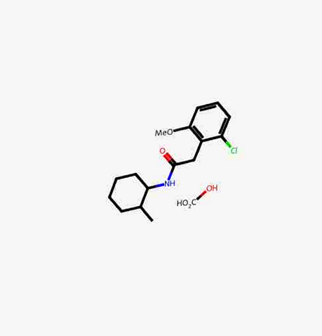 COc1cccc(Cl)c1CC(=O)NC1CCCCC1C.O=C(O)O